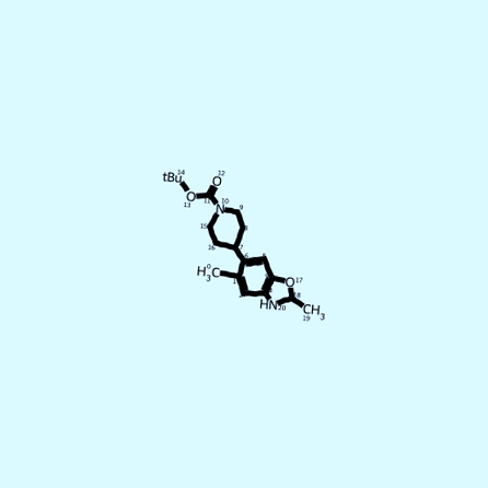 Cc1cc2c(cc1C1CCN(C(=O)OC(C)(C)C)CC1)OC(C)N2